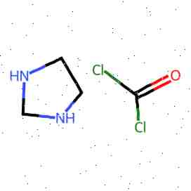 C1CNCN1.O=C(Cl)Cl